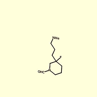 CNCCCC1(F)CCCN(C=O)C1